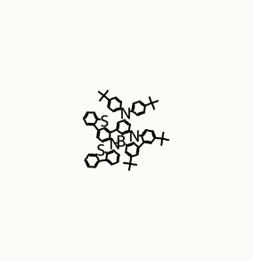 CC(C)(C)c1ccc(N(c2ccc(C(C)(C)C)cc2)c2cc3c4c(c2)-n2c5ccc(C(C)(C)C)cc5c5cc(C(C)(C)C)cc(c52)B4N(c2cccc4c2sc2ccccc24)c2ccc4c(sc5ccccc54)c2-3)cc1